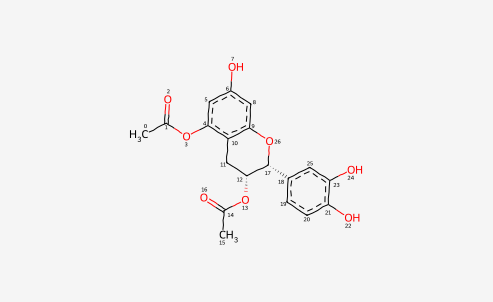 CC(=O)Oc1cc(O)cc2c1C[C@@H](OC(C)=O)[C@@H](c1ccc(O)c(O)c1)O2